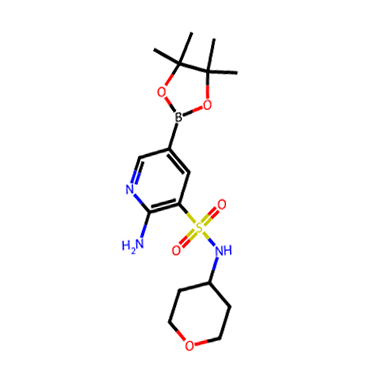 CC1(C)OB(c2cnc(N)c(S(=O)(=O)NC3CCOCC3)c2)OC1(C)C